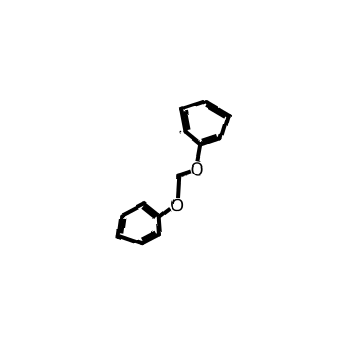 [c]1ccccc1OCOc1ccccc1